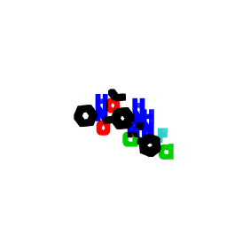 CC(C)Oc1cc2[nH]c(Nc3c(Cl)ccc(Cl)c3F)nc2cc1C(=O)NC1CCCCC1